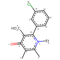 CCn1c(C)c(C)c(=O)c(C(=O)O)c1-c1cccc(Cl)c1